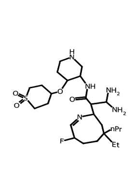 CCCC1(CC)CCC(F)/C=N\C(C(C(=O)NC2CNCCC2OC2CCS(=O)(=O)CC2)C(N)N)C1